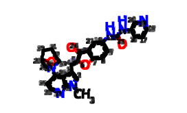 Cn1cc(/C=C2\Oc3ccc(NC(=O)Nc4cccnc4)cc3C2=O)c2c(N3CC4CCC(C3)O4)ccnc21